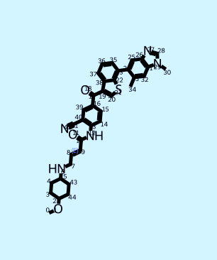 COC1CCC(NC/C=C/C(=O)Nc2ccc(C(=O)c3csc4c(-c5cc6ncn(C)c6cc5C)cccc34)cc2C#N)CC1